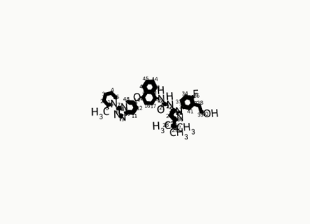 C[C@H]1CCCCN1c1nnc2ccc(O[C@@H]3CC[C@H](NC(=O)Nc4cc(C(C)(C)C)nn4-c4ccc(F)c(CCO)c4)c4ccccc43)cn12